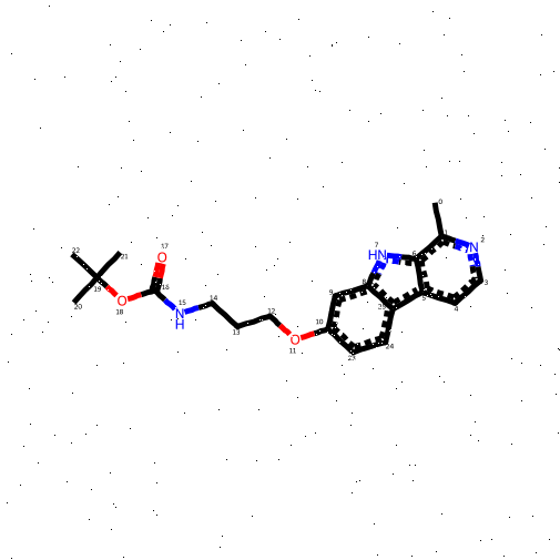 Cc1nccc2c1[nH]c1cc(OCCCNC(=O)OC(C)(C)C)ccc12